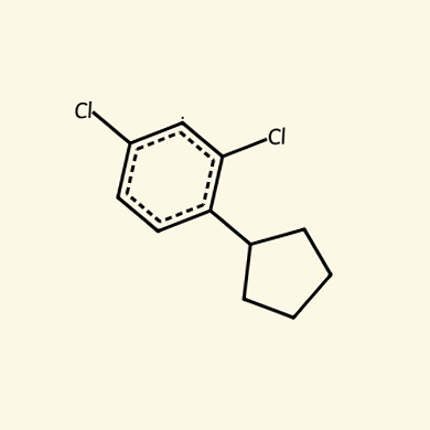 Clc1[c]c(Cl)c(C2CCCC2)cc1